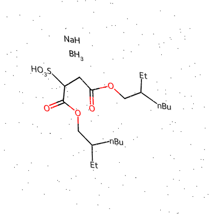 B.CCCCC(CC)COC(=O)CC(C(=O)OCC(CC)CCCC)S(=O)(=O)O.[NaH]